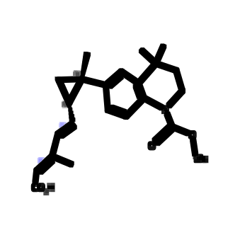 CC(/C=C/[C@@H]1C[C@]1(C)c1ccc2c(c1)C(C)(C)CCN2C(=O)OC(C)(C)C)=C\C(=O)O